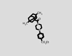 CCOC(=O)c1ccc(N2CCN(C(=O)C34CC5CC(C)(CC(C)(C5)C3)C4)CC2)cc1